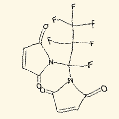 O=C1C=CC(=O)N1C(F)(N1C(=O)C=CC1=O)C(F)(F)C(F)(F)F